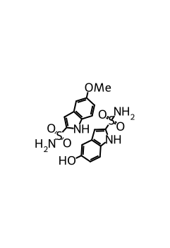 COc1ccc2[nH]c(S(N)(=O)=O)cc2c1.NS(=O)(=O)c1cc2cc(O)ccc2[nH]1